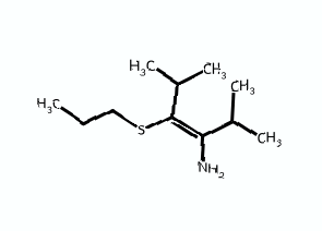 CCCS/C(=C(\N)C(C)C)C(C)C